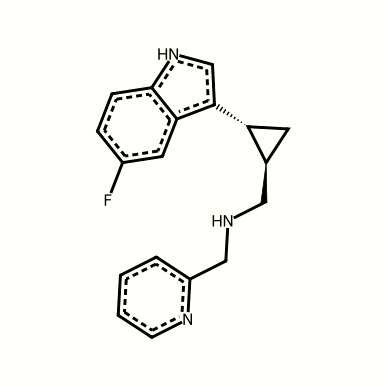 Fc1ccc2[nH]cc([C@@H]3C[C@H]3CNCc3ccccn3)c2c1